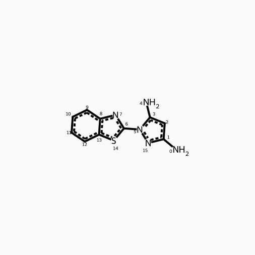 Nc1cc(N)n(-c2nc3ccccc3s2)n1